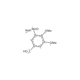 COc1cc(C(=O)O)cc(OC)c1OC.[NaH]